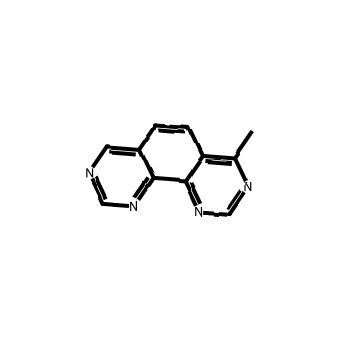 Cc1ncnc2c1ccc1cncnc12